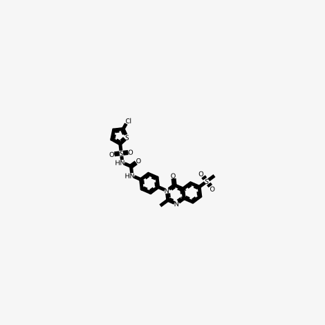 Cc1nc2ccc(S(C)(=O)=O)cc2c(=O)n1-c1ccc(NC(=O)NS(=O)(=O)c2ccc(Cl)s2)cc1